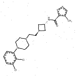 Cc1cnsc1C(=O)N[C@H]1C[C@H](CCN2CCN(c3cccc(Cl)c3Cl)CC2)C1